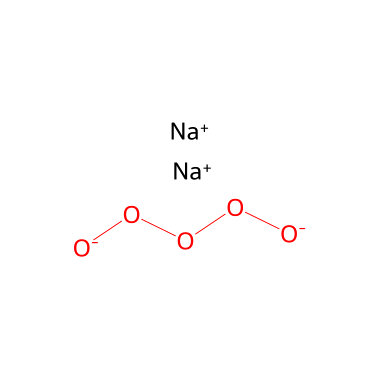 [Na+].[Na+].[O-]OOO[O-]